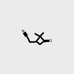 CC1(C)C(=O)CC1CC#N